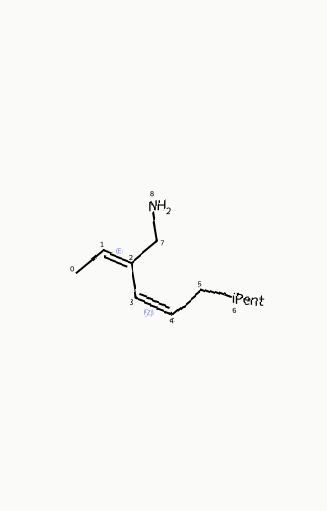 C/C=C(\C=C/CC(C)CCC)CN